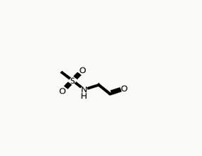 CS(=O)(=O)N[CH]C=O